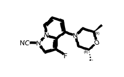 [CH2][C@@H]1CN(C2=CC=CN3C2=C(F)CN3C#N)C[C@@H](C)O1